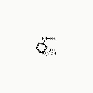 Cl.NNc1ccccc1.O=S(=O)(O)O